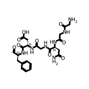 NCC(=O)NCC(=O)N[C@@H](CC(N)=O)C(=O)NCC(=O)N[C@@H](CC(=O)O)C(=O)N[C@H]([C]=O)Cc1ccccc1